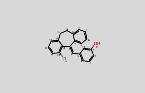 Oc1cccc(/C=C2\c3ccccc3CCc3cccc(Cl)c32)c1